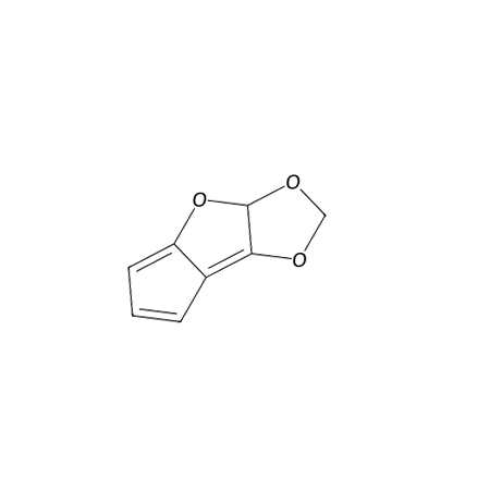 C1=CC2=C3OCOC3OC2=C1